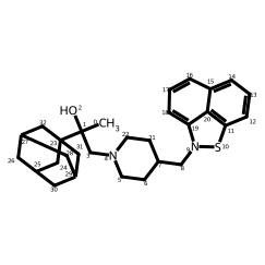 CC(O)(CN1CCC(CN2Sc3cccc4cccc2c34)CC1)C12CC3CC(CC(C3)C1)C2